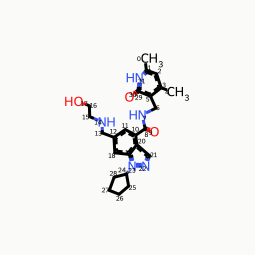 Cc1cc(C)c(CNC(=O)c2cc(CNCCO)cc3c2cnn3C2CCCC2)c(=O)[nH]1